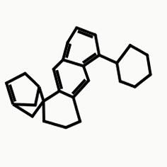 C1=C2CC(C1)C1(CCCc3cc4c(C5CCCCC5)cccc4cc31)C2